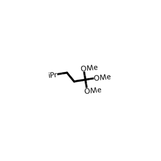 COC(CCC(C)C)(OC)OC